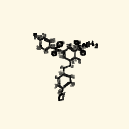 Cc1c(CCc2ccc(Cl)cc2)cc(S(=O)(=O)c2ccc(F)cc2)cc1S(N)(=O)=O